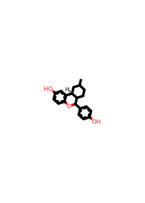 CC1CCC2C(c3ccc(O)cc3)Oc3ccc(O)cc3[C@H]2C1